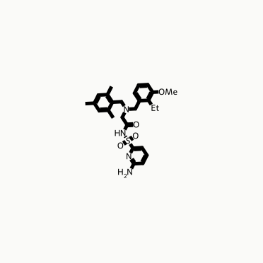 CCc1c(CN(CC(=O)NS(=O)(=O)c2cccc(N)n2)Cc2c(C)cc(C)cc2C)cccc1OC